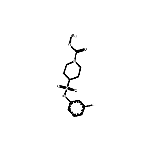 CC(C)(C)OC(=O)N1CCC(S(=O)(=O)Nc2cccc(Cl)c2)CC1